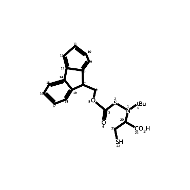 CC(C)(C)N(SC(=O)OCC1c2ccccc2-c2ccccc21)C(CS)C(=O)O